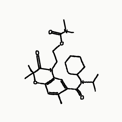 Cc1cc2c(cc1C(=O)N(C(C)C)C1CCCCC1)N(CCOC(=O)N(C)C)C(=O)C(C)(C)O2